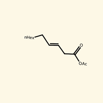 CCCCCCCC=CCC(=O)OC(C)=O